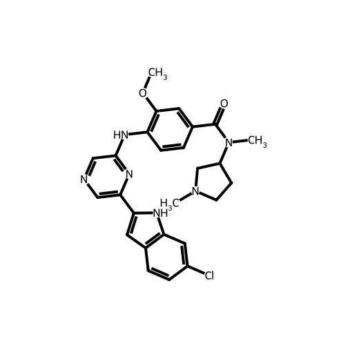 COc1cc(C(=O)N(C)C2CCN(C)C2)ccc1Nc1cncc(-c2cc3ccc(Cl)cc3[nH]2)n1